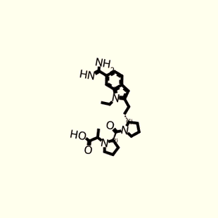 CCn1c(CC[C@@H]2CCCN2C(=O)[C@H]2CCCN2C(C)C(=O)O)cc2ccc(C(=N)N)cc21